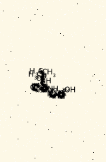 CC(C)(C)OC(=O)NCc1cc(Nc2nccc(-c3cccc(CO)c3)n2)ccc1N1CCOCC1